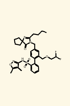 CCCCC1=NC2(CCCC2)C(=O)N1Cc1ccc(-c2ccccc2S(=O)(=O)Nc2noc(C)c2C)c(COCC(F)F)c1